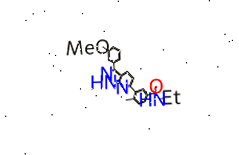 CCNC(=O)c1ccc(C)c(-c2ccc3c(-c4cccc(OC)c4)n[nH]c3n2)c1